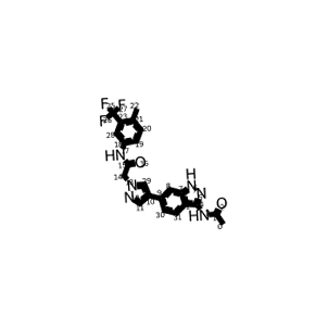 CC(=O)Nc1n[nH]c2cc(-c3cnn(CC(=O)Nc4ccc(C)c(C(F)(F)F)c4)c3)ccc12